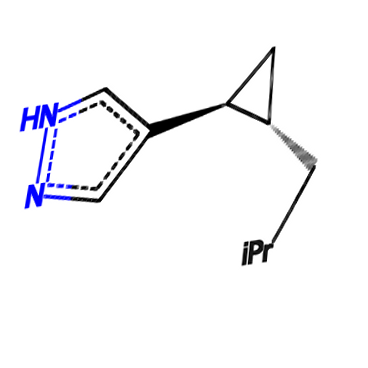 CC(C)C[C@H]1C[C@@H]1c1cn[nH]c1